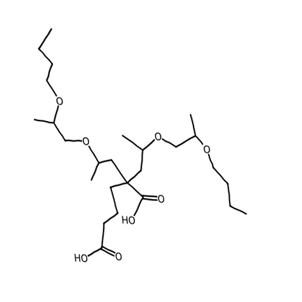 CCCCOC(C)COC(C)CC(CCCC(=O)O)(CC(C)OCC(C)OCCCC)C(=O)O